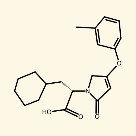 Cc1cccc(OC2=CC(=O)N([C@@H](CC3CCCCC3)C(=O)O)C2)c1